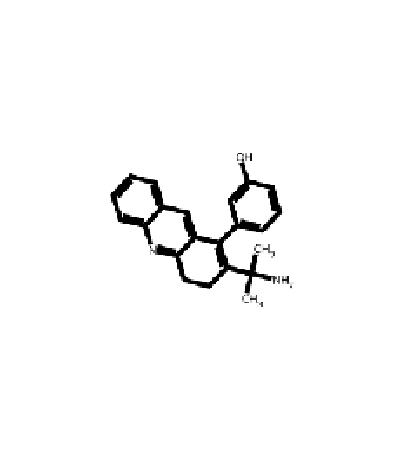 CC(C)(N)C1=C(c2cccc(O)c2)c2cc3ccccc3nc2CC1